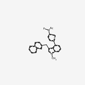 CC(=O)N(F)c1ccc(-c2cccc3c2c(Cc2ccc4ccccc4c2)cn3C)cc1